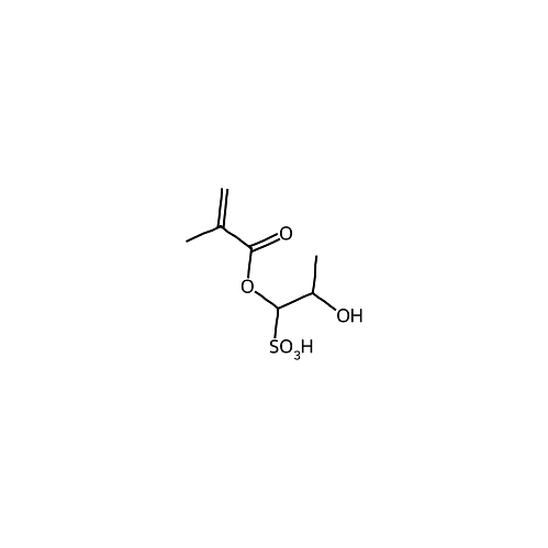 C=C(C)C(=O)OC(C(C)O)S(=O)(=O)O